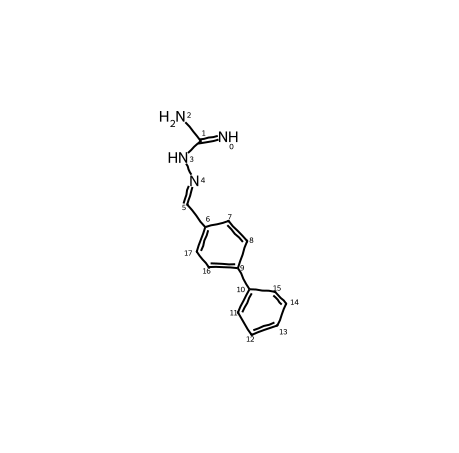 N=C(N)NN=Cc1ccc(-c2ccccc2)cc1